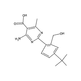 Cc1nc(-c2ccc(C(C)(C)C)cc2CO)nc(N)c1C(=O)O